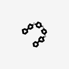 c1ccc(-c2ccc(Sc3ccc(Sc4ccc(Sc5ccc(-c6ccccc6)cc5)cc4)cc3)cc2)cc1